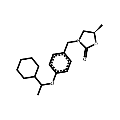 CC(Oc1ccc(CN2C[C@@H](C)OC2=O)cc1)C1CCCCC1